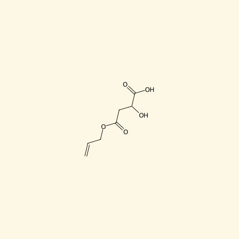 C=CCOC(=O)CC(O)C(=O)O